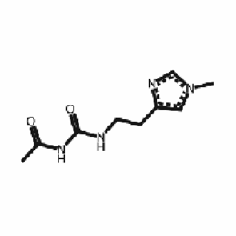 CC(=O)NC(=O)NCCc1cn(C)cn1